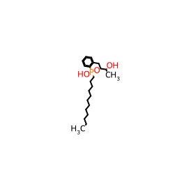 CCCCCCCCCCCCP(=O)(O)c1ccccc1CCC(C)O